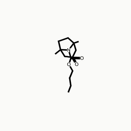 CCCCOC(=O)N1C2(C)CCC1(C)CC(=O)C2